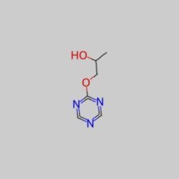 CC(O)COc1ncncn1